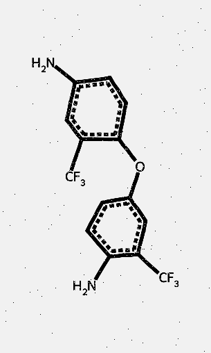 Nc1ccc(Oc2ccc(N)c(C(F)(F)F)c2)c(C(F)(F)F)c1